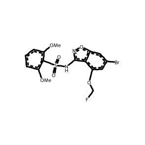 COc1cccc(OC)c1S(=O)(=O)Nc1noc2cc(Br)cc(OCF)c12